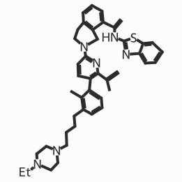 C=C(Nc1nc2ccccc2s1)c1cccc2c1CN(c1ccc(-c3cccc(CCCCN4CCN(CC)CC4)c3C)c(C(=C)C)n1)CC2